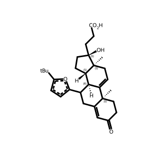 CC(C)(C)c1ccc(C2CC3=CC(=O)CC[C@]3(C)C3=CC[C@@]4(C)[C@@H](CC[C@]4(O)CCC(=O)O)[C@@H]32)o1